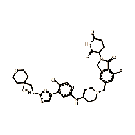 N#CC1(CNc2nc(-c3cc(NC4CCN(Cc5cc(F)c6c(c5)CN(C5CCC(=O)NC5=O)C6=O)CC4)ncc3Cl)cs2)CCOCC1